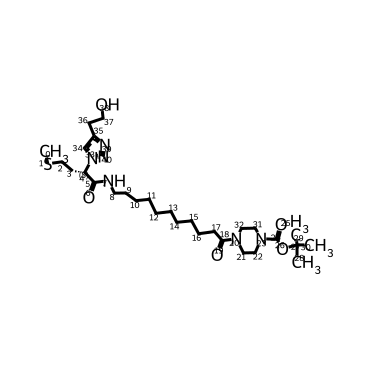 CSCC[C@@H](C(=O)NCCCCCCCCCCC(=O)N1CCN(C(=O)OC(C)(C)C)CC1)n1cc(CCO)nn1